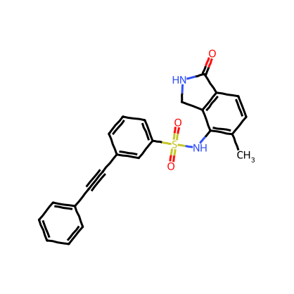 Cc1ccc2c(c1NS(=O)(=O)c1cccc(C#Cc3ccccc3)c1)CNC2=O